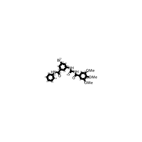 COc1cc(C(=O)NC(=S)Nc2cc(Br)cc(C(=O)Nc3ccccc3)c2)cc(OC)c1OC